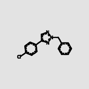 Clc1ccc(-c2cnn(Cc3ccccc3)n2)cc1